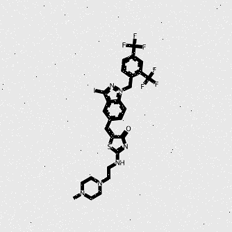 CN1CCN(CCNC2=NC(=O)/C(=C\c3ccc4c(c3)c(I)nn4Cc3ccc(C(F)(F)F)cc3C(F)(F)F)S2)CC1